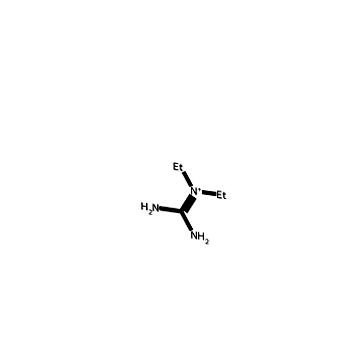 CC[N+](CC)=C(N)N